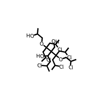 CC(O)COC(CC(C)Cl)(CC(C)Cl)C(CO)(C(O)CC(C)Cl)C(CC(C)Cl)(CC(C)Cl)OCC(C)Cl